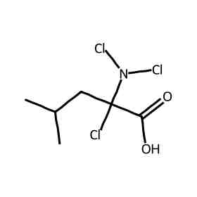 CC(C)CC(Cl)(C(=O)O)N(Cl)Cl